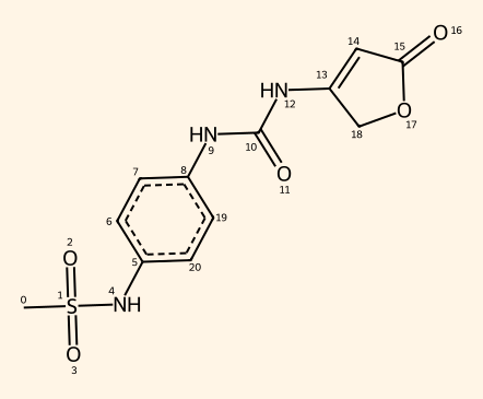 CS(=O)(=O)Nc1ccc(NC(=O)NC2=CC(=O)OC2)cc1